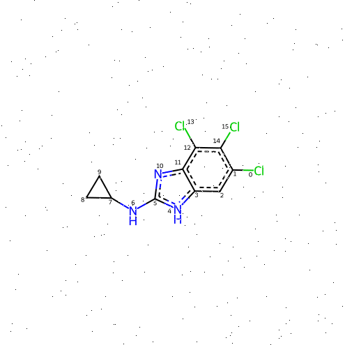 Clc1cc2[nH]c(NC3CC3)nc2c(Cl)c1Cl